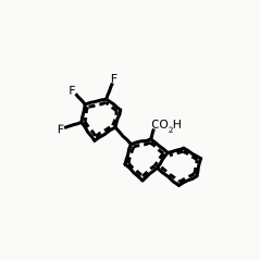 O=C(O)c1c(-c2cc(F)c(F)c(F)c2)ccc2ccccc12